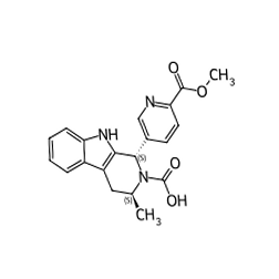 COC(=O)c1ccc([C@H]2c3[nH]c4ccccc4c3C[C@H](C)N2C(=O)O)cn1